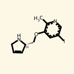 Cc1ncc(I)cc1OC[C@@H]1C=CCN1